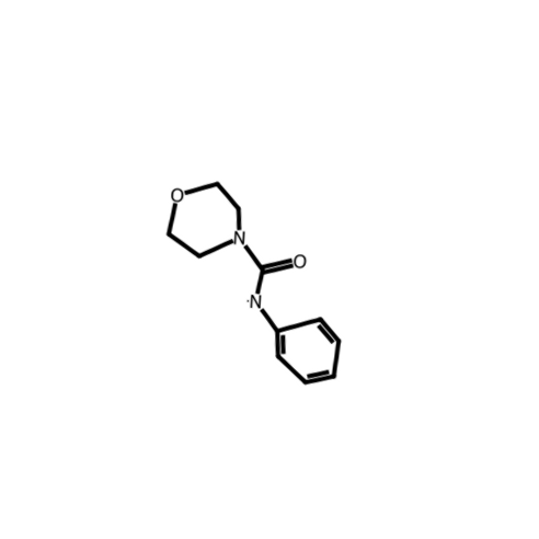 O=C([N]c1ccccc1)N1CCOCC1